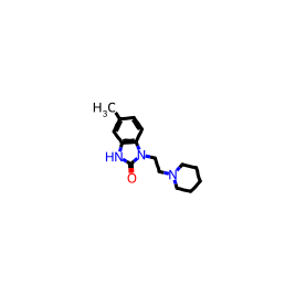 Cc1ccc2c(c1)[nH]c(=O)n2CCN1CCCCC1